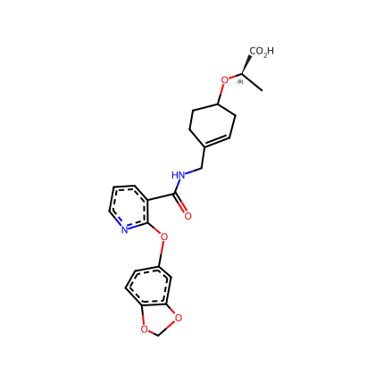 C[C@@H](OC1CC=C(CNC(=O)c2cccnc2Oc2ccc3c(c2)OCO3)CC1)C(=O)O